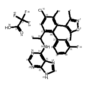 Cc1noc(C)c1-c1c(C)c(Cl)cc(C(C)Nc2ncnc3[nH]cnc23)c1-c1cccc(F)c1.O=C(O)C(F)(F)F